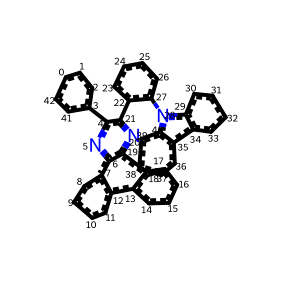 c1ccc(-c2nc3c4ccccc4c4ccccc4c3nc2-c2ccccc2-n2c3ccccc3c3ccccc32)cc1